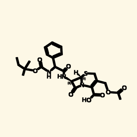 CCC(C)(C)OC(=O)NC(C(=O)N[C@@H]1C(=O)N2C(C(=O)O)=C(COC(C)=O)CS[C@H]12)c1ccccc1